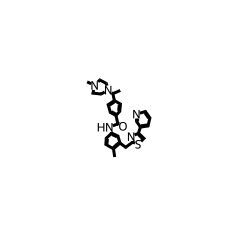 Cc1ccc(NC(=O)c2ccc(C(C)N3CCN(C)CC3)cc2)cc1Cc1nc(-c2cccnc2)cs1